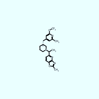 Cc1cc(C[C@H]2CCCN(C(C)c3ccc4oc(C)nc4n3)C2)cc(OC(F)(F)F)n1